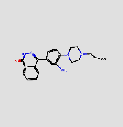 COCCN1CCN(c2ccc(-c3n[nH]c(=O)c4ccccc34)cc2N)CC1